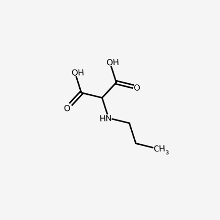 CCCNC(C(=O)O)C(=O)O